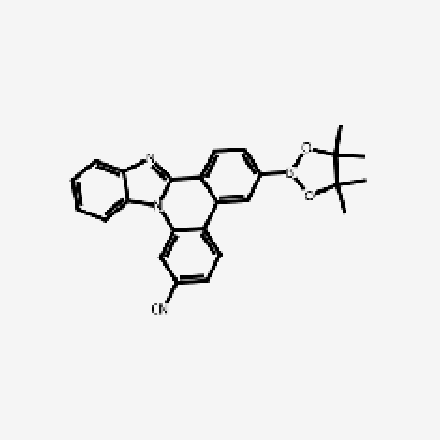 [C-]#[N+]c1ccc2c3cc(B4OC(C)(C)C(C)(C)O4)ccc3c3nc4ccccc4n3c2c1